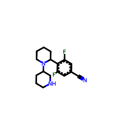 N#Cc1cc(F)c(C2CCCCN2C2CCCNC2)c(F)c1